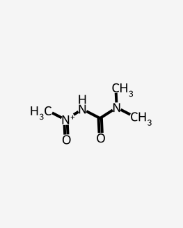 CN(C)C(=O)N[N+](C)=O